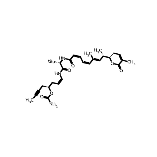 CC#CC[C@@H](C/C=C\NC(=O)[C@@H](NC(=O)\C=C/C=C\C(C)=C\[C@H](C)[C@@H]1CC=C(C)C(=O)O1)C(C)(C)C)OC(N)=O